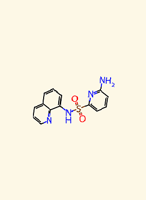 Nc1cccc(S(=O)(=O)Nc2cccc3cccnc23)n1